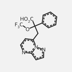 O=C(O)C(Cc1ccnc2ccnn12)(OC(F)(F)F)c1ccccc1